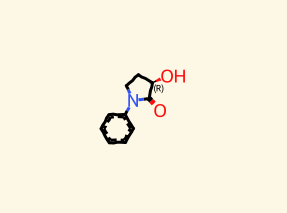 O=C1[C@H](O)CCN1c1ccccc1